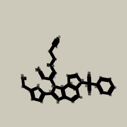 N#CCCN/C=C(\C=N)n1c(-c2ccc(CO)o2)nc2cnc3c(ccn3S(=O)(=O)c3ccccc3)c21